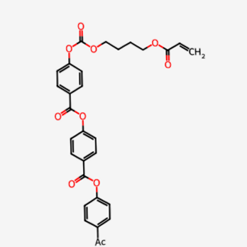 C=CC(=O)OCCCCOC(=O)Oc1ccc(C(=O)Oc2ccc(C(=O)Oc3ccc(C(C)=O)cc3)cc2)cc1